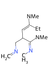 C=NCC(/C=C(\CC)NC)/C(=N\C)NC